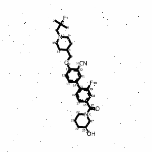 CC(C)(F)CN1CCC(COc2ccc(-c3ccc(C(=O)N4CCC[C@H](O)C4)cc3F)cc2C#N)CC1